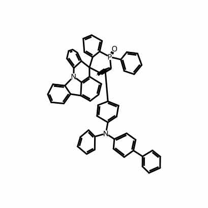 O=P1(c2ccccc2)c2ccccc2C2(c3ccccc3-n3c4ccccc4c4cccc2c43)c2cc(-c3ccc(N(c4ccccc4)c4ccc(-c5ccccc5)cc4)cc3)ccc21